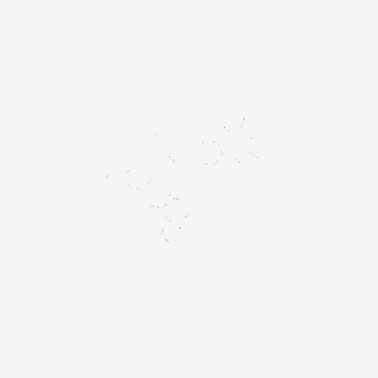 CCC(c1ccc2c(c1)N(C)C(=O)C(C)(C)C(=O)N2)N(CCn1ccc2oc(C)cc2c1=O)Cc1cccc(C=O)c1